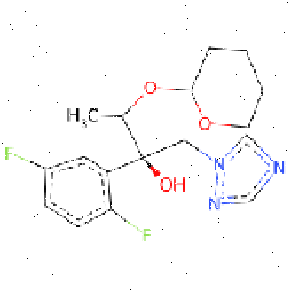 CC(OC1CCCCO1)[C@](O)(Cn1cncn1)c1cc(F)ccc1F